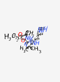 Cc1ccc([C@@H](C)NC(=O)c2nc(C)c(C)c(NCCc3cn[nH]c3)n2)o1